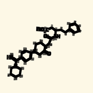 CCOC(=O)CC(CCc1ccccc1)NC(=O)CN1CCN(c2ccc(C(=N)N3CCCCC3)cc2)CC1=O